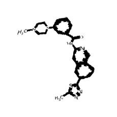 Cc1nnc(-c2ccc3cnc(NC(=O)c4cccc(N5CCN(C)CC5)c4)cc3c2)s1